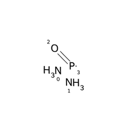 N.N.O=[P]